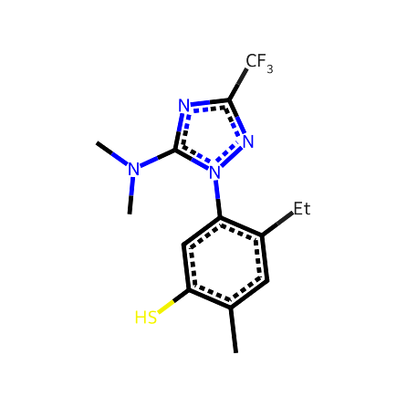 CCc1cc(C)c(S)cc1-n1nc(C(F)(F)F)nc1N(C)C